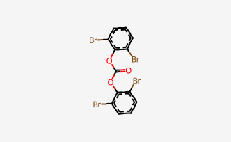 O=C(Oc1c(Br)cccc1Br)Oc1c(Br)cccc1Br